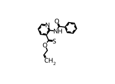 C=CCOC(=S)c1cccnc1NC(=O)c1ccccc1